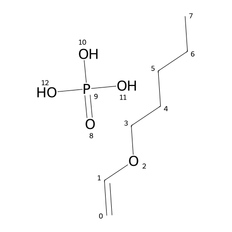 C=COCCCCC.O=P(O)(O)O